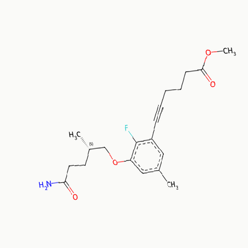 COC(=O)CCCC#Cc1cc(C)cc(OC[C@@H](C)CCC(N)=O)c1F